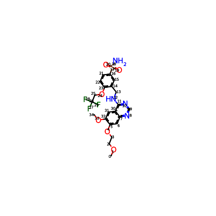 COCCOc1cc2ncnc(NCc3cc(S(N)(=O)=O)ccc3OCC(F)(F)F)c2cc1OC